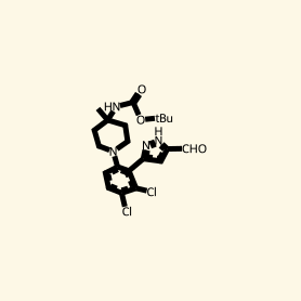 CC1(NC(=O)OC(C)(C)C)CCN(c2ccc(Cl)c(Cl)c2-c2cc(C=O)[nH]n2)CC1